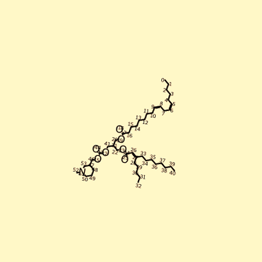 CCCCC/C=C\C/C=C\CCCCCCCC(=O)OCC(COC(=O)/C=C(\CCCCC)CCCCCCCC)COC(=O)OCC1CCCN(C)C1